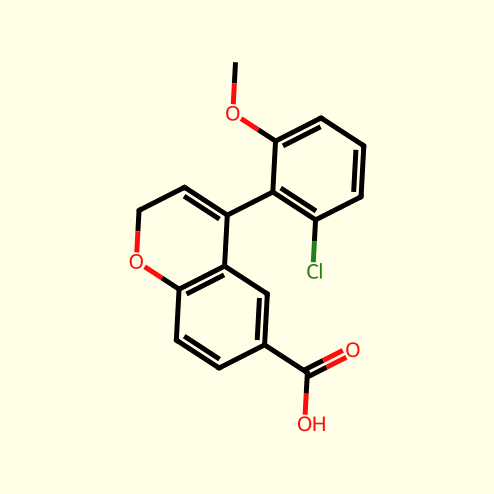 COc1cccc(Cl)c1C1=CCOc2ccc(C(=O)O)cc21